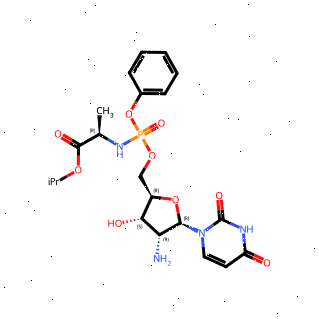 CC(C)OC(=O)[C@@H](C)NP(=O)(OC[C@H]1O[C@@H](n2ccc(=O)[nH]c2=O)[C@H](N)[C@@H]1O)Oc1ccccc1